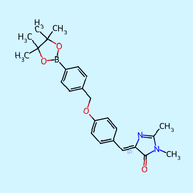 CC1=N/C(=C\c2ccc(OCc3ccc(B4OC(C)(C)C(C)(C)O4)cc3)cc2)C(=O)N1C